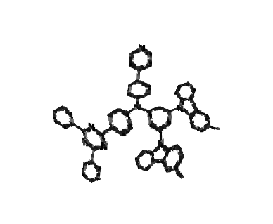 Cc1ccc2c(c1)c1ccccc1n2-c1cc(N(c2ccc(-c3ccncc3)cc2)c2ccc(-c3nc(-c4ccccc4)nc(-c4ccccc4)n3)cc2)cc(-n2c3ccccc3c3cc(C)ccc32)c1